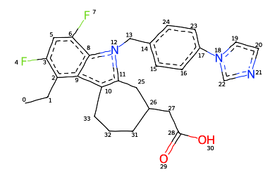 CCc1c(F)cc(F)c2c1c1c(n2Cc2ccc(-n3ccnc3)cc2)CC(CC(=O)O)CCC1